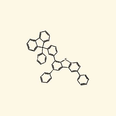 c1ccc(-c2ccc3sc4c(-c5cccc(C6(c7ccccc7)c7ccccc7-c7ccccc76)c5)cc(-c5ccccc5)cc4c3c2)cc1